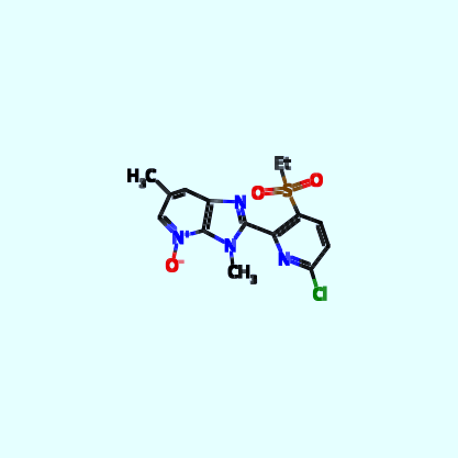 CCS(=O)(=O)c1ccc(Cl)nc1-c1nc2cc(C)c[n+]([O-])c2n1C